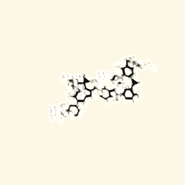 C[C@H]1c2c(nn(-c3ccc(F)c(C4CC4)c3)c2-n2ccn(-c3ccc4c(cnn4C)c3F)c2=O)CCN1C(=O)c1cc2cc([C@H]3CCOC(C)(C)C3)c(F)cn2c1C1(c2noc(=O)[nH]2)CC1